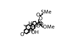 COCC(=O)O[C@]1(C(=O)COC(=O)CSC)CC[C@H]2[C@@H]3C[C@H](C)C4=CC(=O)C=C[C@]4(C)[C@H]3[C@@H](O)C[C@@]21C